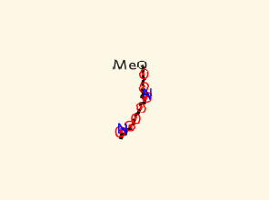 COCCOCCCOCc1cc(CCOCCCOCCOCc2cc(C)on2)on1